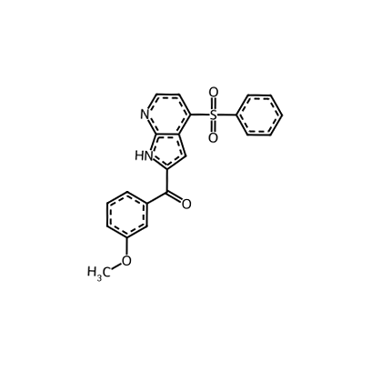 COc1cccc(C(=O)c2cc3c(S(=O)(=O)c4ccccc4)ccnc3[nH]2)c1